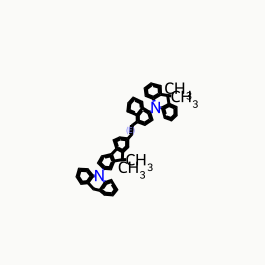 CC1(C)c2cc(/C=C/c3ccc(N4c5ccccc5C(C)(C)c5ccccc54)c4ccccc34)ccc2-c2ccc(N3c4ccccc4Cc4ccccc43)cc21